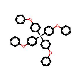 c1ccc(Oc2cc[c]([Sn]([c]3ccc(Oc4ccccc4)cc3)([c]3ccc(Oc4ccccc4)cc3)[c]3ccc(Oc4ccccc4)cc3)cc2)cc1